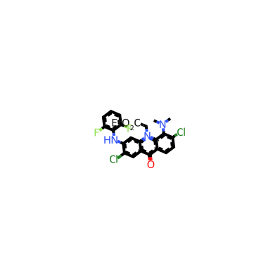 CCOC(=O)Cn1c2cc(Nc3c(F)cccc3F)c(Cl)cc2c(=O)c2ccc(Cl)c(N(C)C)c21